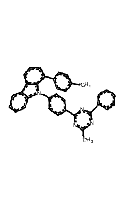 Cc1ccc(-c2cccc3c4ccccc4n(-c4ccc(-c5nc(C)nc(-c6ccccc6)n5)cc4)c23)cc1